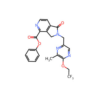 Cc1nc(CN2Cc3c(ccnc3C(=O)Oc3ccccc3)C2=O)cnc1OCC(F)(F)F